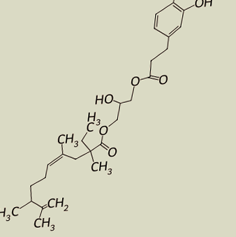 C=C(C)C(C)CC/C=C(/C)CC(C)(CC)C(=O)OCC(O)COC(=O)CCc1ccc(O)c(O)c1